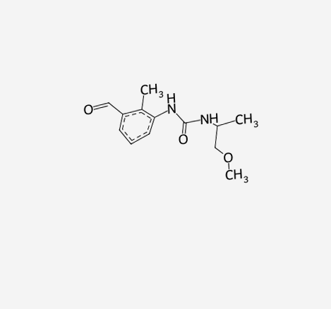 COCC(C)NC(=O)Nc1cccc(C=O)c1C